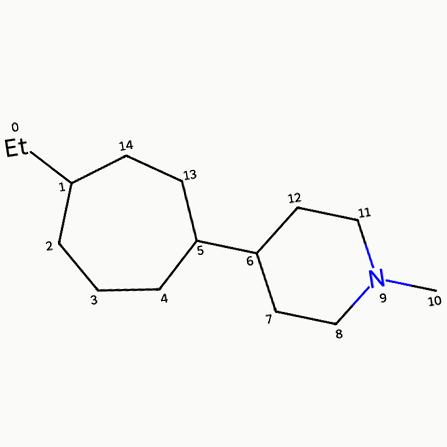 CCC1CCCC(C2CCN(C)CC2)CC1